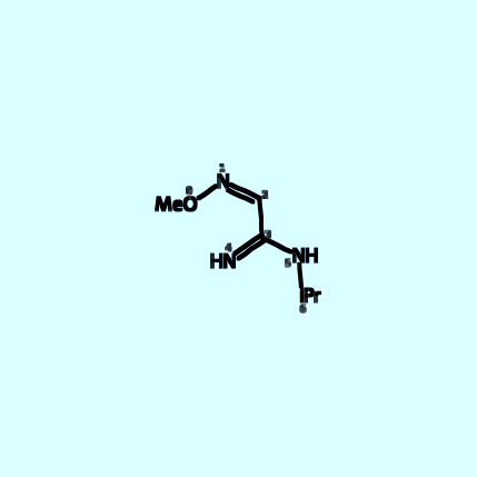 CO/N=C\C(=N)NC(C)C